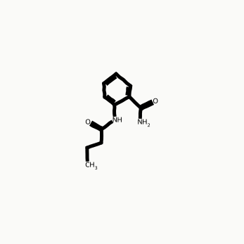 CCCC(=O)Nc1ccccc1C(N)=O